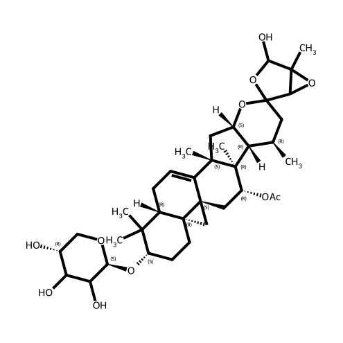 CC(=O)O[C@@H]1C[C@@]23C[C@@]24CC[C@H](O[C@@H]2OC[C@@H](O)C(O)C2O)C(C)(C)[C@@H]4CC=C3[C@]2(C)C[C@@H]3OC4(C[C@@H](C)[C@@H]3[C@@]12C)OC(O)C1(C)OC41